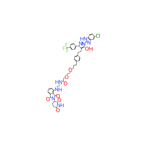 O=C(COCCOCCCc1ccc(CCc2c(-c3ccc(C(F)(F)F)cc3)nn(-c3nc4cc(Cl)ccc4[nH]3)c2O)cc1)NCCNc1cccc2c1C(=O)N(C1CCC(=O)NC1=O)C2=O